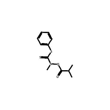 CC(C)C(=O)ON(C)C(=S)Sc1ccccc1